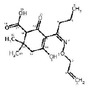 C=CCO/N=C(/CCC)C1=C(O)CC(C)(C)C(C(=O)O)C1=O